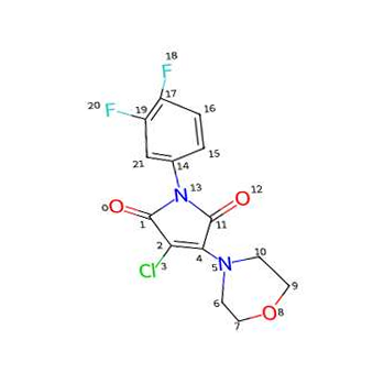 O=C1C(Cl)=C(N2CCOCC2)C(=O)N1c1ccc(F)c(F)c1